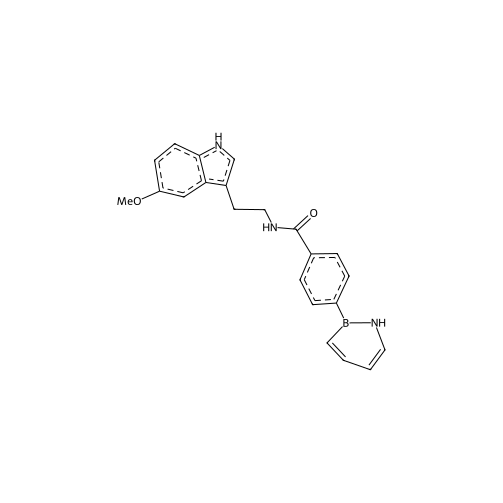 COc1ccc2[nH]cc(CCNC(=O)c3ccc(B4C=CC=CN4)cc3)c2c1